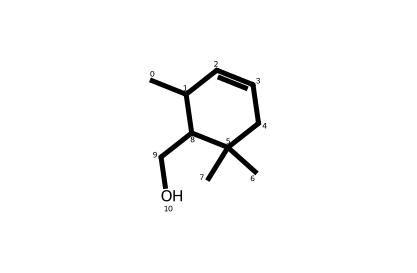 CC1C=CCC(C)(C)C1CO